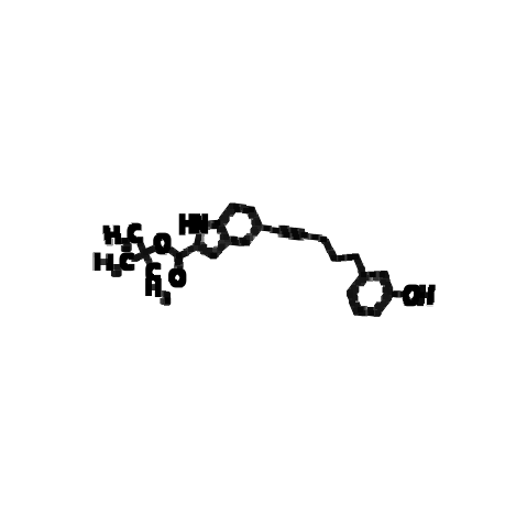 CC(C)(C)OC(=O)c1cc2cc(C#CCCCc3cccc(O)c3)ccc2[nH]1